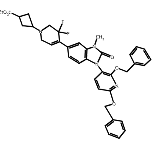 CCOC(=O)C1CC(N2CC=C(c3ccc4c(c3)n(C)c(=O)n4-c3ccc(OCc4ccccc4)nc3OCc3ccccc3)C(F)(F)C2)C1